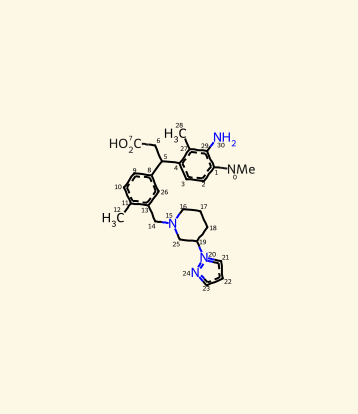 CNc1ccc(C(CC(=O)O)c2ccc(C)c(CN3CCCC(n4cccn4)C3)c2)c(C)c1N